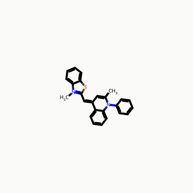 CC1=C/C(=C\c2sc3ccccc3[n+]2C)c2ccccc2N1c1ccccc1